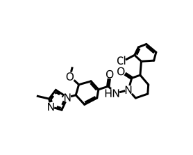 COC1C=C(C(=O)NN2CCCC(C3CC=CC=C3Cl)C2=O)C=CC1n1cnc(C)c1